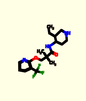 CCC1CNCCC1NC(=O)C(C)(C)COc1ncccc1C(F)(F)F